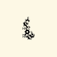 C[C@H](Nc1cnc2cnn(C)c2n1)c1cccc(NC(=O)c2ccn(CC(F)F)n2)c1